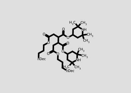 CCCCCCCCCCCCCOC(=O)CC(C(=O)OC1CC(C)(C)NC(C)(C)C1)C(CC(=O)OCCCCCCCCCCCCC)C(=O)OC1CC(C)(C)NC(C)(C)C1